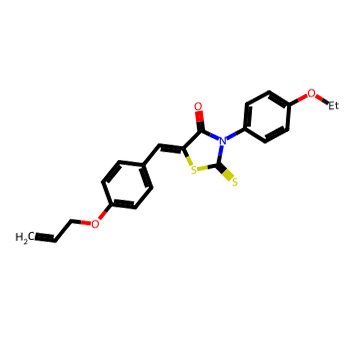 C=CCOc1ccc(/C=C2\SC(=S)N(c3ccc(OCC)cc3)C2=O)cc1